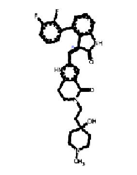 CN1CCC(O)(CCN2CCc3[nH]c(/C=C4\C(=O)Nc5cccc(-c6cccc(F)c6F)c54)cc3C2=O)CC1